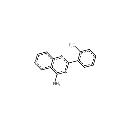 Nc1nc(-c2ccccc2C(F)(F)F)nc2ccncc12